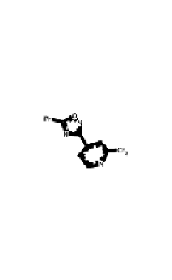 CC(C)c1nc(-c2ccnc(C(F)(F)F)c2)no1